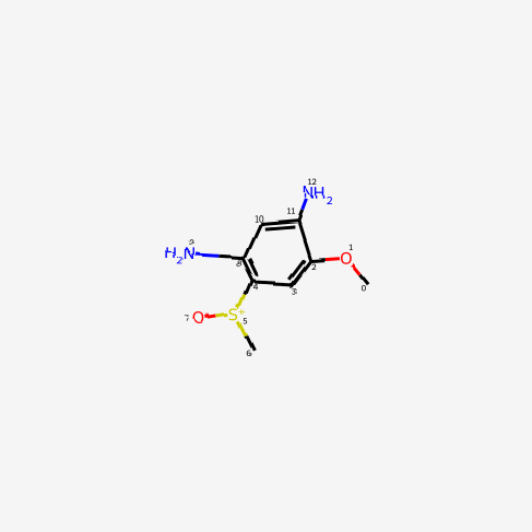 COc1cc([S+](C)[O-])c(N)cc1N